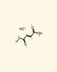 COC(=O)/C=C/C(=O)O.Cl